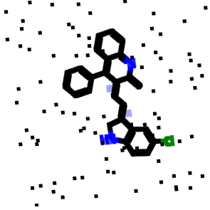 C=c1nc2ccccc2c(-c2ccccc2)/c1=C/C=C1\CNc2ccc(Cl)cc21